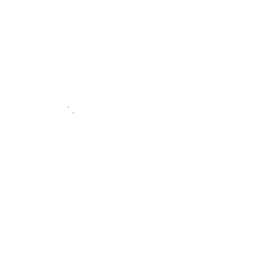 CCc1ccc2ncc3ccccc3c2c1-c1ccccc1